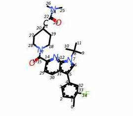 Cc1ccc(-c2cn(C(C)(C)C)c3nc(C(=O)N4CCC(CC(=O)N(C)C)CC4)ccc23)cc1F